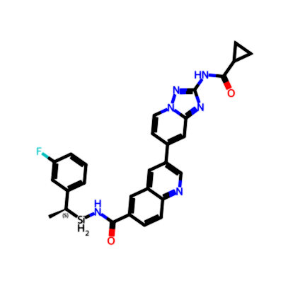 C[C@H]([SiH2]NC(=O)c1ccc2ncc(-c3ccn4nc(NC(=O)C5CC5)nc4c3)cc2c1)c1cccc(F)c1